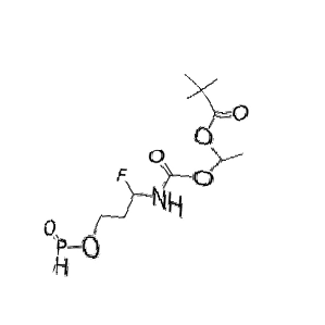 CC(OC(=O)NC(F)CCO[PH](C)=O)OC(=O)C(C)(C)C